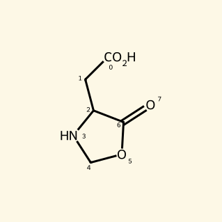 O=C(O)CC1NCOC1=O